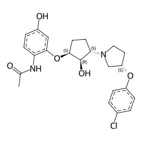 CC(=O)Nc1ccc(O)cc1O[C@H]1CC[C@H](N2CC[C@H](Oc3ccc(Cl)cc3)C2)[C@H]1O